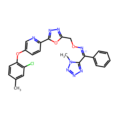 Cc1ccc(Oc2ccc(-c3nnc(CO/N=C(/c4ccccc4)c4nnnn4C)o3)nc2)c(Cl)c1